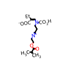 C=C(C)C(=O)OCC[N+]#CCCN(C=C(CC)C(=O)[O-])C(=O)O